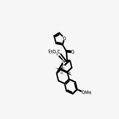 CCOC(=O)C1(C(=O)c2ccco2)C[C@@]23CCCC[C@]24CC1N(C)C3Cc1ccc(OC)cc14